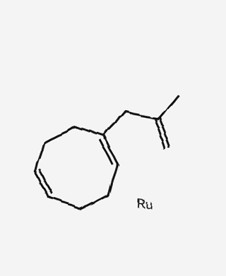 C=C(C)CC1=CCCC=CCC1.[Ru]